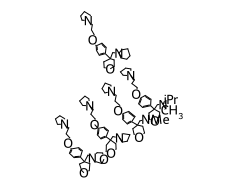 CC(C)N(C)CC1(c2ccc(OCCCN3CCCC3)cc2)CCOCC1.CNCC1(c2ccc(OCCCN3CCCC3)cc2)CCOCC1.c1cc(C2(CN3CCCC3)CCOCC2)ccc1OCCCN1CCCC1.c1cc(C2(CN3CCCCC3)CCOCC2)ccc1OCCCN1CCCC1.c1cc(C2(CN3CCOCC3)CCOCC2)ccc1OCCCN1CCCC1